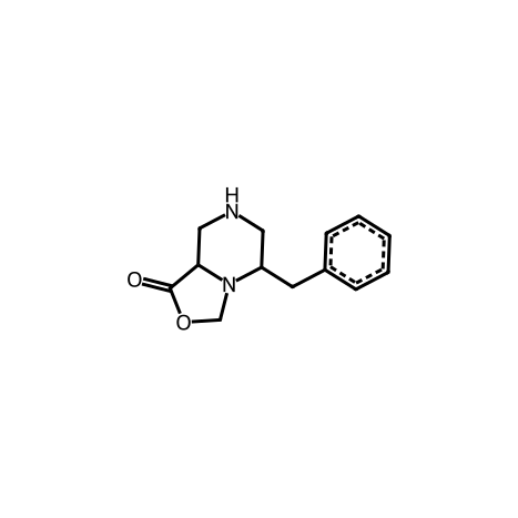 O=C1OCN2C(Cc3ccccc3)CNCC12